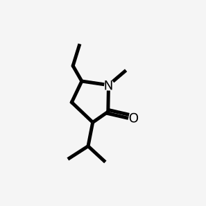 CCC1CC(C(C)C)C(=O)N1C